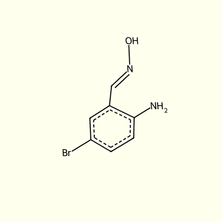 Nc1ccc(Br)cc1C=NO